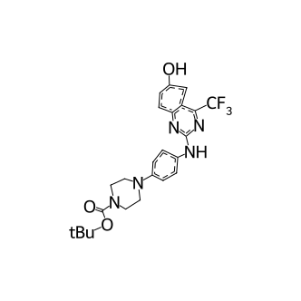 CC(C)(C)OC(=O)N1CCN(c2ccc(Nc3nc(C(F)(F)F)c4cc(O)ccc4n3)cc2)CC1